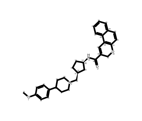 COc1ccc(C2CCN(C[C@H]3CC[C@@H](NC(=O)C4=Cc5c(ccc6ccccc56)OC4)C3)CC2)cc1